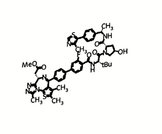 COC(=O)C[C@@H]1N=C(c2ccc(-c3ccc(C(=O)N[C@H](C(=O)N4C[C@H](O)C[C@H]4C(=O)N[C@@H](C)c4ccc(-c5scnc5C)cc4)C(C)(C)C)c(F)c3)cc2)c2c(sc(C)c2C)-n2c(C)nnc21